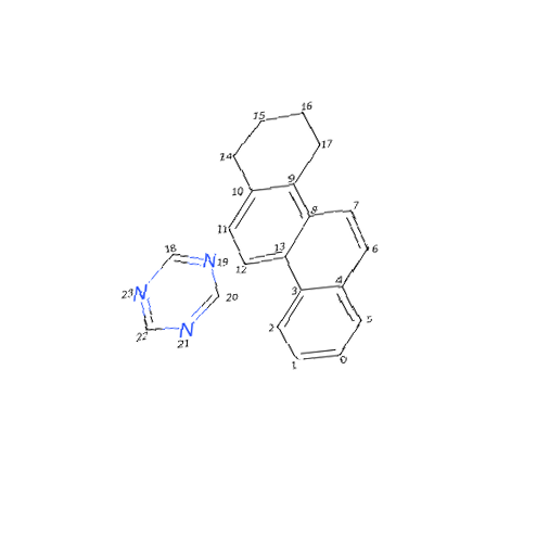 c1ccc2c(c1)ccc1c3c(ccc12)CCCC3.c1ncncn1